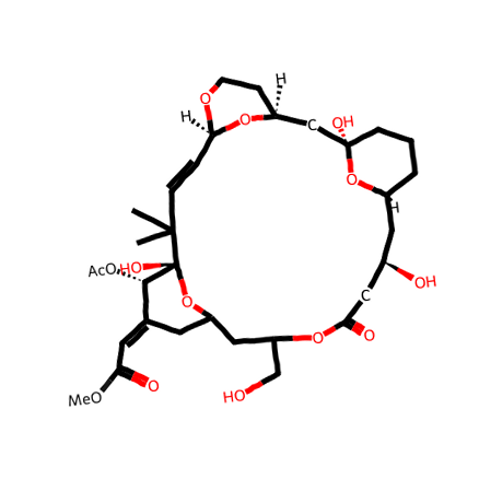 COC(=O)/C=C1\CC2CC(CO)OC(=O)C[C@H](O)C[C@@H]3CCC[C@](O)(C[C@@H]4CCO[C@H](/C=C/C(C)(C)[C@](O)(O2)[C@H]1OC(C)=O)O4)O3